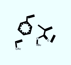 C=C.C=C(C)C(=O)OCCCC.C=COC(C)=O.C=Cc1ccccc1